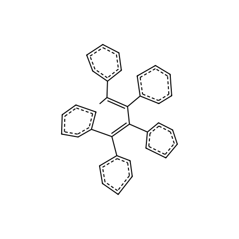 CC(=C(C(=C(c1ccccc1)c1ccccc1)c1ccccc1)c1ccccc1)c1ccccc1